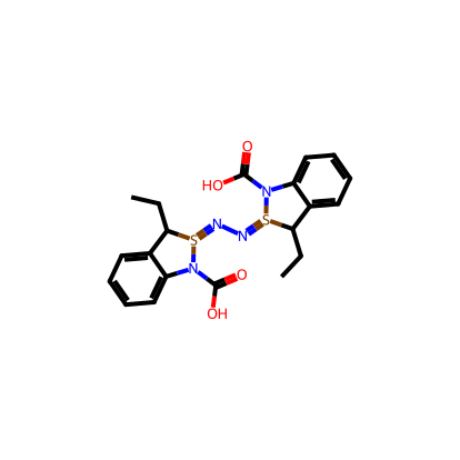 CCC1c2ccccc2N(C(=O)O)S1=NN=S1C(CC)c2ccccc2N1C(=O)O